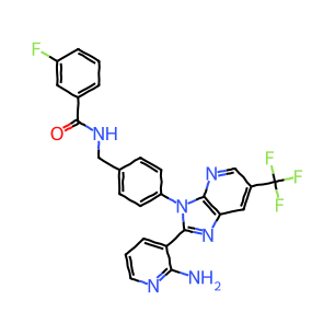 Nc1ncccc1-c1nc2cc(C(F)(F)F)cnc2n1-c1ccc(CNC(=O)c2cccc(F)c2)cc1